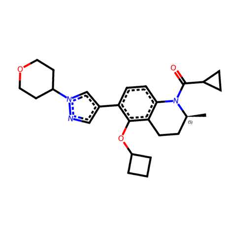 C[C@H]1CCc2c(ccc(-c3cnn(C4CCOCC4)c3)c2OC2CCC2)N1C(=O)C1CC1